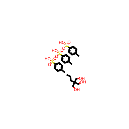 CCCC(CO)(CO)CO.Cc1ccc(S(=O)(=O)O)cc1.Cc1ccc(S(=O)(=O)O)cc1.Cc1ccc(S(=O)(=O)O)cc1